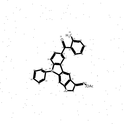 CC(=O)O/N=C1\COc2cc3c(cc21)c1cc(C(=O)c2ccccc2C)ccc1n3-c1ccccc1